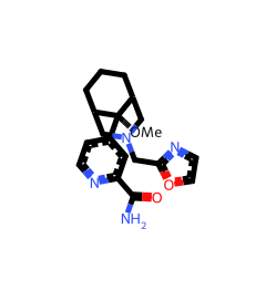 COC1(c2ccnc(C(N)=O)c2)C2CCCC1CN(Cc1ncco1)C2